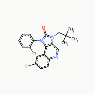 CC(C)(C)Cn1c(=O)n(-c2ccccc2Cl)c2c3cc(Cl)ccc3ncc21